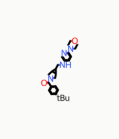 CC(C)(C)c1ccc(C(=O)N2CC3C(CNc4ccc(N5CCOCC5)nc4)C3C2)cc1